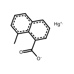 Cc1cccc2cccc(C(=O)[O-])c12.[Hg+]